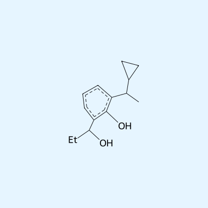 CCC(O)c1cccc(C(C)C2CC2)c1O